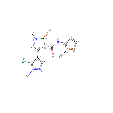 CN1C[C@H](c2cnn(C)c2Cl)[C@@H](C(=O)Nc2ccsc2Cl)C1=O